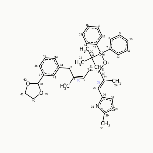 C/C(=C/C[C@H](O[Si](c1ccccc1)(c1ccccc1)C(C)(C)C)/C(C)=C/c1csc(C)n1)Cc1cccc(C2OCCO2)c1